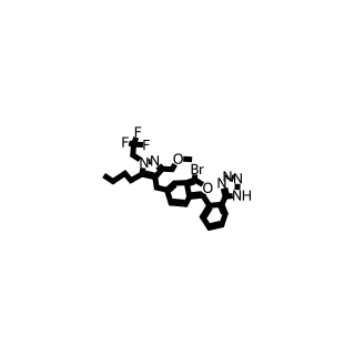 CCCCc1c(Cc2ccc3c(-c4ccccc4-c4nnn[nH]4)oc(Br)c3c2)c(COC)nn1CC(F)(F)F